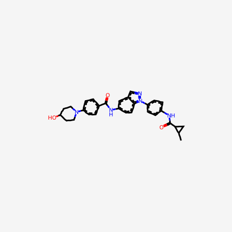 CC1CC1C(=O)Nc1ccc(-n2ncc3cc(NC(=O)c4ccc(N5CCC(O)CC5)cc4)ccc32)cc1